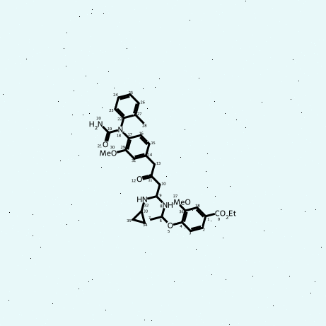 CCOC(=O)c1ccc(OC(C)NC(CC(=O)Cc2ccc(N(C(N)=O)c3ccccc3C)c(OC)c2)NC2CC2)c(OC)c1